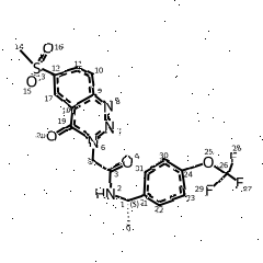 C[C@H](NC(=O)Cn1nnc2ccc(S(C)(=O)=O)cc2c1=O)c1ccc(OC(F)(F)F)cc1